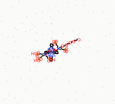 C[Si](C)(CCC[N+](CCCCS(=O)(=O)O)(CCCCS(=O)(=O)O)CCCCS(=O)(=O)O)O[Si]1(O[Si](C)(C)CCC[N+](CCCCS(=O)(=O)[O-])(CCCCS(=O)(=O)[O-])CCOCCOCCOCCOCCC=O)n2c3c4ccccc4c2/N=C2N=C(/N=c4/c5ccccc5/c(n41)=N/C1=NC(=N\3)/c3ccccc31)c1ccccc1\2